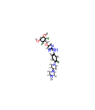 COc1cc(OC)c(F)c(COc2cnc(Nc3ccc(N4CCC(N5CCN(C)CC5)CC4)c(F)c3)nc2)c1F